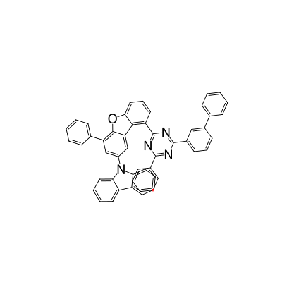 c1ccc(-c2cccc(-c3nc(-c4ccccc4)nc(-c4cccc5oc6c(-c7ccccc7)cc(-n7c8ccccc8c8ccccc87)cc6c45)n3)c2)cc1